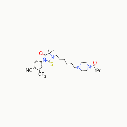 CC(C)C(=O)N1CCN(CCCCCCN2C(=S)N(c3ccc(C#N)c(C(F)(F)F)c3)C(=O)C2(C)C)CC1